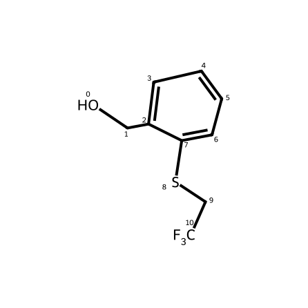 OCc1ccccc1SCC(F)(F)F